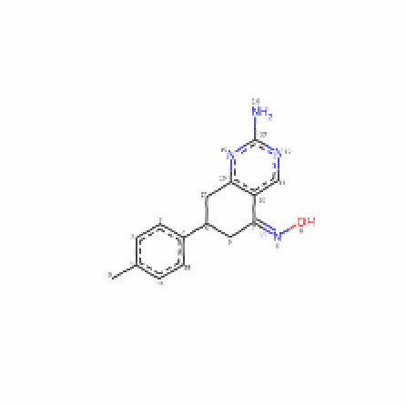 Cc1ccc(C2C/C(=N/O)c3cnc(N)nc3C2)cc1